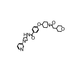 O=C(NC1CN(c2cccnc2)C1)c1ccc(OC2CCN(C(=O)CC3CCOCC3)CC2)cc1